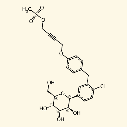 CS(=O)(=O)OCC#CCOc1ccc(Cc2cc([C@@H]3O[C@H](CO)[C@@H](O)[C@H](O)[C@@H]3O)ccc2Cl)cc1